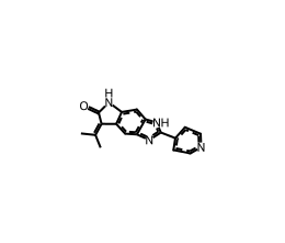 CC(C)=C1C(=O)Nc2cc3[nH]c(-c4ccncc4)nc3cc21